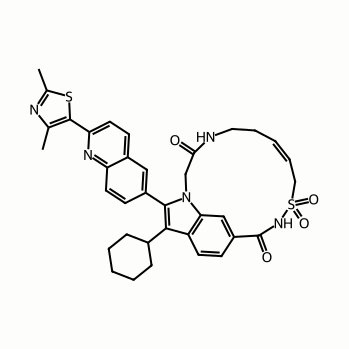 Cc1nc(C)c(-c2ccc3cc(-c4c(C5CCCCC5)c5ccc6cc5n4CC(=O)NCC/C=C\CS(=O)(=O)NC6=O)ccc3n2)s1